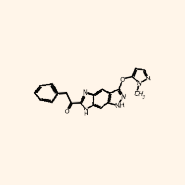 Cn1nccc1Oc1n[nH]c2cc3[nH]c(C(=O)Cc4ccccc4)nc3cc12